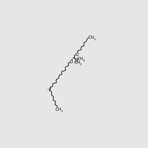 CCCCCCCC/C=C\CCCCCCCCCCCCOC[C@H](COCCCCCCCC)N(C)C